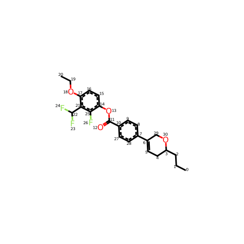 CCCC1CC=C(c2ccc(C(=O)Oc3ccc(OCC)c(C(F)F)c3F)cc2)CO1